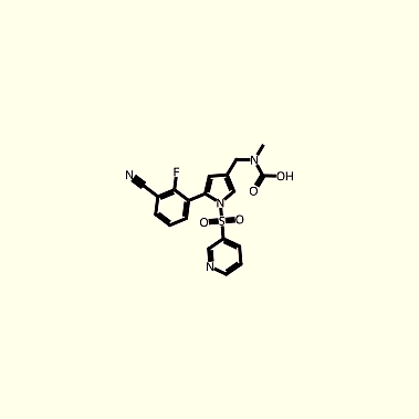 CN(Cc1cc(-c2cccc(C#N)c2F)n(S(=O)(=O)c2cccnc2)c1)C(=O)O